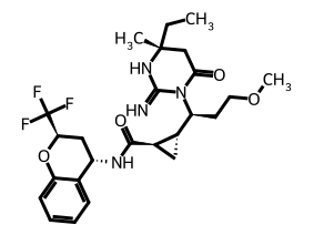 CC[C@]1(C)CC(=O)N([C@@H](CCOC)[C@@H]2C[C@H]2C(=O)N[C@H]2C[C@H](C(F)(F)F)Oc3ccccc32)C(=N)N1